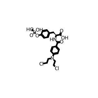 O=C(N[C@@H](Cc1ccc(OP(=O)(O)O)cc1)C(=O)O)c1ccc(N(CCCl)CCCl)cc1